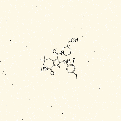 CC1(C)CNC(=O)c2sc(Nc3ccc(I)cc3F)c(C(=O)N3CCCC(CO)C3)c2C1